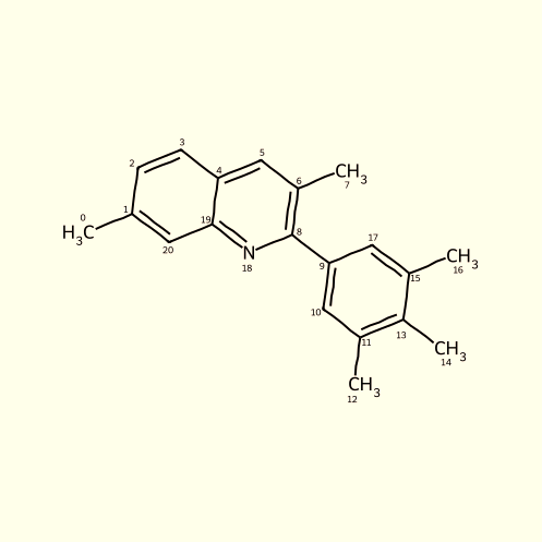 Cc1ccc2cc(C)c(-c3cc(C)c(C)c(C)c3)nc2c1